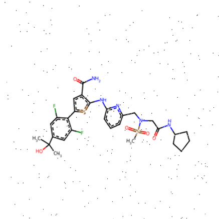 CC(C)(O)c1cc(F)c(-c2cc(C(N)=O)c(Nc3cccc(CN(CC(=O)NC4CCCC4)S(C)(=O)=O)n3)s2)c(F)c1